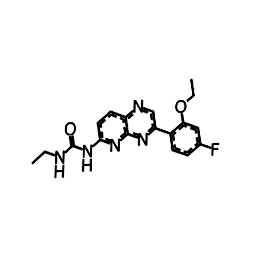 CCNC(=O)Nc1ccc2ncc(-c3ccc(F)cc3OCC)nc2n1